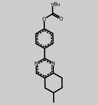 CCCCC(=O)Oc1ccc(-c2ncc3c(n2)CCC(C)C3)cc1